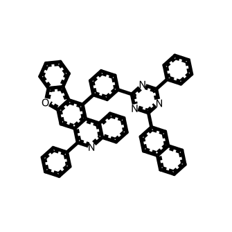 c1ccc(-c2nc(-c3cccc(-c4c5c(cc6c(-c7ccccc7)nc7ccccc7c46)oc4ccccc45)c3)nc(-c3ccc4ccccc4c3)n2)cc1